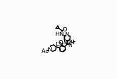 COc1c(-c2nn(C)c3cnc(NC(=O)C4CC4)cc23)cccc1C1(C#N)CCN(C(C)=O)CC1